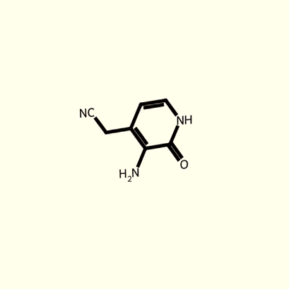 N#CCc1cc[nH]c(=O)c1N